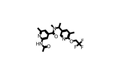 CC(=O)Nc1cc(C(=O)N(C)C(C)c2cnc(OCC(F)(F)F)c(C)c2)cc(C)n1